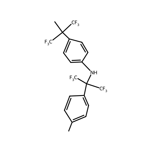 Cc1ccc(C(Nc2ccc(C(C)(C(F)(F)F)C(F)(F)F)cc2)(C(F)(F)F)C(F)(F)F)cc1